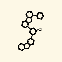 Clc1cc(-c2ccc3c(c2)-c2ccccc2C3)cc(-c2cccc3c2Cc2c(-c4ccccc4)cccc2-3)c1